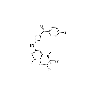 Cc1nc(NC2CN(C(=O)c3ccc(Cl)cc3)C2)nc2c1NC(=O)[C@H](C(C)C)N2C